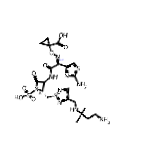 CC(C)(CCN)NCc1cnn(C[C@H]2C(NC(=O)/C(=N\OC3(C(=O)O)CC3)c3csc(N)n3)C(=O)N2S(=O)(=O)O)n1